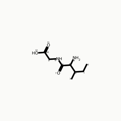 CCC(C)C(N)C(=O)NCC(=O)O